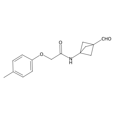 Cc1ccc(OCC(=O)NC23CC(C=O)(C2)C3)cc1